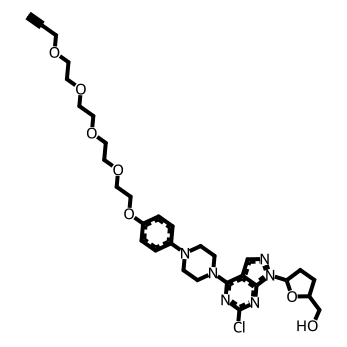 C#CCOCCOCCOCCOCCOc1ccc(N2CCN(c3nc(Cl)nc4c3cnn4C3CCC(CO)O3)CC2)cc1